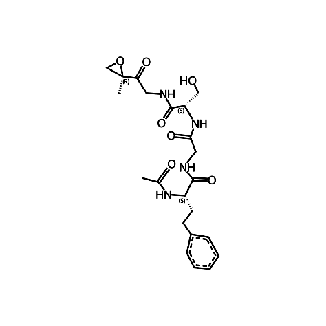 CC(=O)N[C@@H](CCc1ccccc1)C(=O)NCC(=O)N[C@@H](CO)C(=O)NCC(=O)[C@@]1(C)CO1